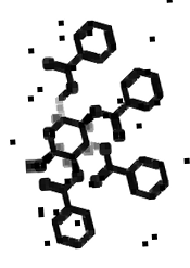 O=C(OC[C@H]1O[C@H](O)[C@H](OC(=O)c2ccccc2)[C@@H](OC(=O)c2ccccc2)[C@@H]1OC(=O)c1ccccc1)c1ccccc1